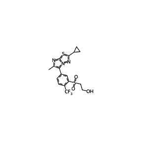 Cc1nc2sc(C3CC3)nn2c1-c1ccc(C(F)(F)F)c(S(=O)(=O)CCO)c1